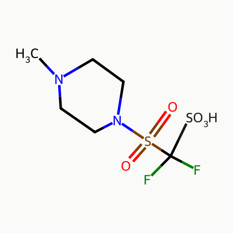 CN1CCN(S(=O)(=O)C(F)(F)S(=O)(=O)O)CC1